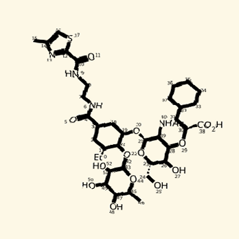 CC[C@@H]1CC(C(=O)NCCNC(=O)c2nc(C)cs2)CC(O[C@@H]2O[C@@H](CO)C(O)C(O[C@@H](CC3CCCCC3)C(=O)O)C2NC(C)=O)C1OC1OC(C)C(O)C(O)C1O